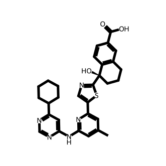 Cc1cc(Nc2cc(C3CCCCC3)ncn2)nc(-c2cnc([C@@]3(O)CCCc4cc(C(=O)O)ccc43)s2)c1